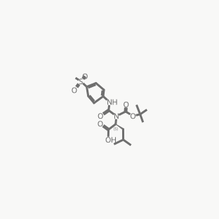 CC(C)C[C@@H](C(=O)O)N(C(=O)Nc1ccc(S(C)(=O)=O)cc1)C(=O)OC(C)(C)C